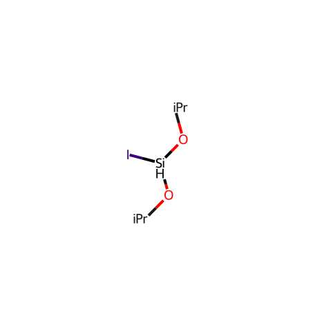 CC(C)O[SiH](I)OC(C)C